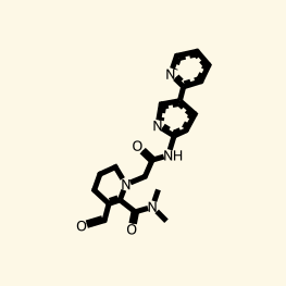 CN(C)C(=O)C1=C(C=O)CCCN1CC(=O)Nc1ccc(-c2ccccn2)cn1